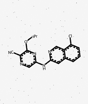 CCCOc1nc(Nc2cc3cccc(Cl)c3cn2)cnc1C#N